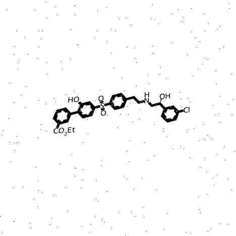 CCOC(=O)c1cccc(-c2ccc(S(=O)(=O)c3ccc(CCNC[C@H](O)c4cccc(Cl)c4)cc3)cc2O)c1